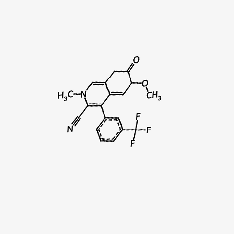 COC1C=C2C(=CN(C)C(C#N)=C2c2cccc(C(F)(F)F)c2)CC1=O